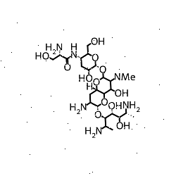 CNC1C(O[C@H]2OC(CO)[C@@H](NC(=O)[C@@H](N)CO)CC2O)O[C@H]2CC(N)[C@@H](O[C@H](C(C)N)[C@H](O)C(O)[C@@H](C)N)OC2C1O